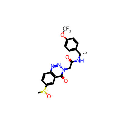 C[C@H](NC(=O)Cn1nnc2ccc([S+](C)[O-])cc2c1=O)c1ccc(OC(F)(F)F)cc1